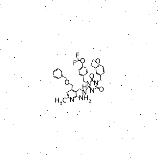 Cc1cc(COCc2ccccc2)c(CNc2nc(=O)n(Cc3ccc4c(c3)CCO4)c(=O)n2Cc2ccc(OC(F)F)cc2)c(N)n1